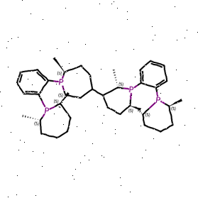 C[C@H]1CCCC[C@H](C)P1c1ccccc1P1[C@@H](C)CCC(C2CC[C@H](C)P(c3ccccc3P3[C@@H](C)CCC[C@@H]3C)[C@H]2C)C[C@@H]1C